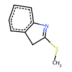 CSC1=Nc2ccccc2C1